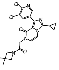 CC1(F)CN(C(=O)Cn2ccn3c(C4CC4)nc(-c4cnc(Cl)c(Cl)c4)c3c2=O)C1